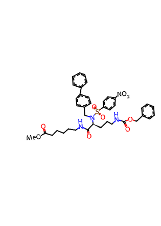 COC(=O)CCCCCNC(=O)[C@H](CCCNC(=O)OCc1ccccc1)N(Cc1ccc(-c2ccccc2)cc1)S(=O)(=O)c1ccc([N+](=O)[O-])cc1